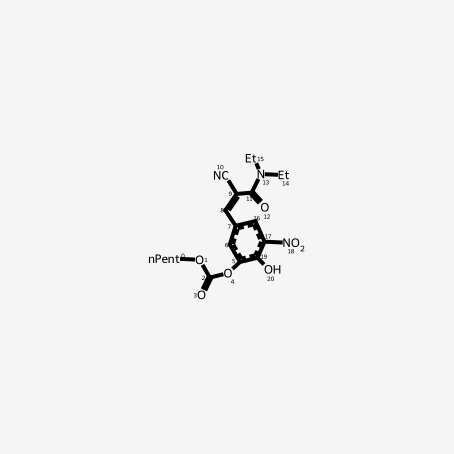 CCCCCOC(=O)Oc1cc(C=C(C#N)C(=O)N(CC)CC)cc([N+](=O)[O-])c1O